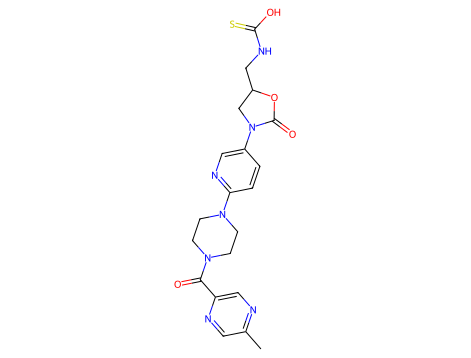 Cc1cnc(C(=O)N2CCN(c3ccc(N4CC(CNC(O)=S)OC4=O)cn3)CC2)cn1